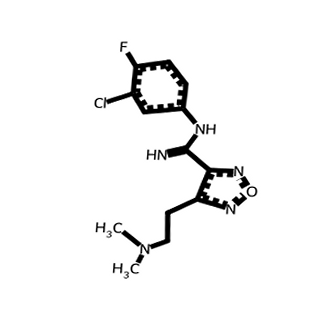 CN(C)CCc1nonc1C(=N)Nc1ccc(F)c(Cl)c1